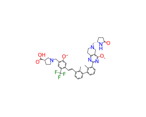 COc1cc(/C=C/c2cccc(-c3cccc(-c4nc5c(c(OC)n4)CN(C[C@@H]4CCC(=O)N4)CC5)c3C)c2C)c(C(F)(F)F)cc1CN1CC[C@@H](C(=O)O)C1